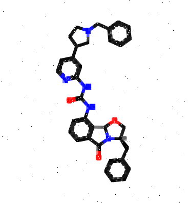 O=C(Nc1cc(C2CCN(Cc3ccccc3)C2)ccn1)Nc1cccc2c1C1OC[C@@H](Cc3ccccc3)N1C2=O